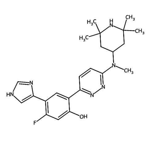 CN(c1ccc(-c2cc(-c3c[nH]cn3)c(F)cc2O)nn1)C1CC(C)(C)NC(C)(C)C1